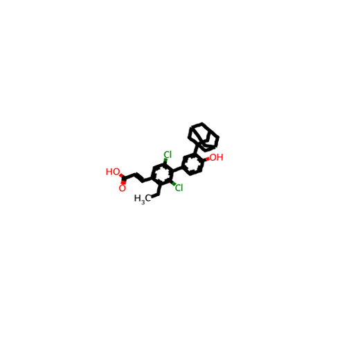 CCc1c(C=CC(=O)O)cc(Cl)c(-c2ccc(O)c(C34CC5CC(CC(C5)C3)C4)c2)c1Cl